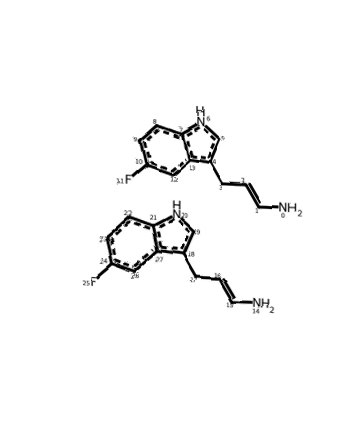 NC=CCc1c[nH]c2ccc(F)cc12.NC=CCc1c[nH]c2ccc(F)cc12